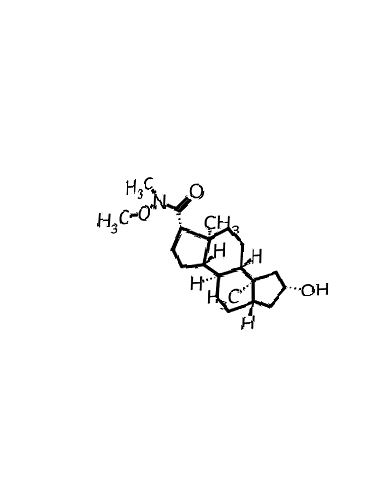 CON(C)C(=O)[C@H]1CC[C@H]2[C@@H]3CC[C@H]4C[C@@H](O)C[C@]4(C)[C@H]3CC[C@]12C